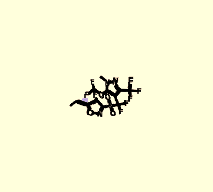 C/C=C1\ON=C(S(=O)(=O)C(F)(F)c2c(C(F)(F)F)nn(C)c2OC(F)F)C1F